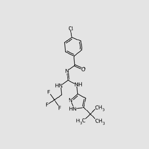 CC(C)(C)c1cc(N/C(=N\C(=O)c2ccc(Cl)cc2)NCC(F)(F)F)n[nH]1